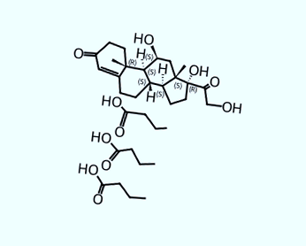 CCCC(=O)O.CCCC(=O)O.CCCC(=O)O.C[C@]12CCC(=O)C=C1CC[C@@H]1[C@@H]2[C@@H](O)C[C@@]2(C)[C@H]1CC[C@]2(O)C(=O)CO